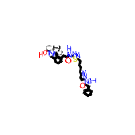 CC(O)N1Cc2cccc(CC(=O)Nc3nnc(CCCCc4ccc(NC(=O)Cc5ccccc5)nn4)s3)c2C1